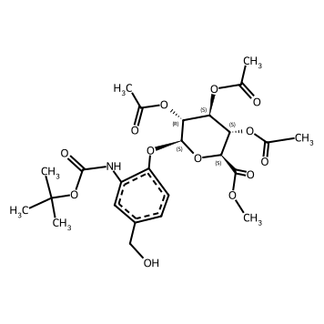 COC(=O)[C@H]1O[C@@H](Oc2ccc(CO)cc2NC(=O)OC(C)(C)C)[C@H](OC(C)=O)[C@@H](OC(C)=O)[C@@H]1OC(C)=O